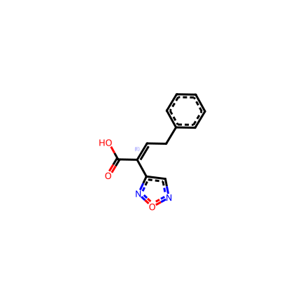 O=C(O)/C(=C/Cc1ccccc1)c1cnon1